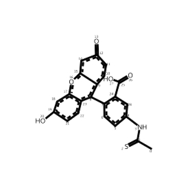 CC(=S)Nc1ccc(-c2c3ccc(=O)cc-3oc3cc(O)ccc23)c(C(=O)O)c1